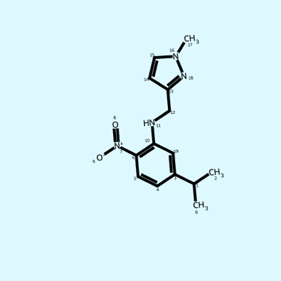 CC(C)c1ccc([N+](=O)[O-])c(NCc2ccn(C)n2)c1